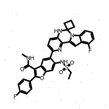 CCS(=O)(=O)Nc1cc2oc(-c3ccc(F)cc3)c(C(=O)NC)c2cc1-c1ccc2c(n1)-c1cc3c(F)cccc3n1C1(CCC1)N2